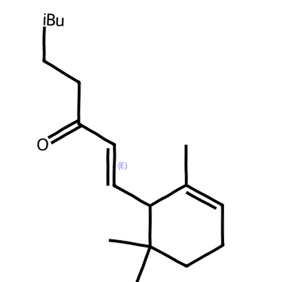 CCC(C)CCC(=O)/C=C/C1C(C)=CCCC1(C)C